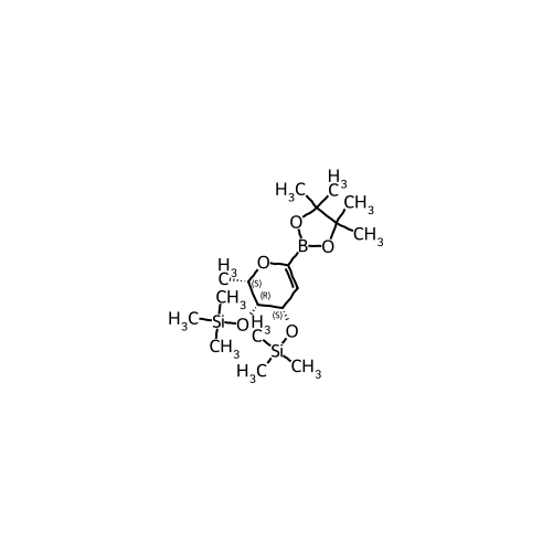 C[C@@H]1OC(B2OC(C)(C)C(C)(C)O2)=C[C@H](O[Si](C)(C)C)[C@@H]1O[Si](C)(C)C